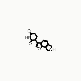 O=C1CCC(c2coc3c4c(ccc23)CNC4)C(=O)N1